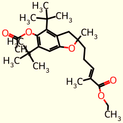 CCOC(=O)/C(C)=C/CCC1(C)Cc2c(cc(C(C)(C)C)c(OC(C)=O)c2C(C)(C)C)O1